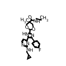 C=CCNC(=O)C1(C)COC(c2nc(-c3ccc(F)cc3)c(-c3ccnc(NCC4CC4)n3)[nH]2)OC1